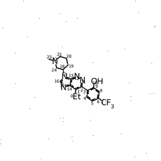 CCc1c(-c2ccc(C(F)(F)F)cc2O)nnc2c1ncn2[C@@H]1CCCN(C)C1